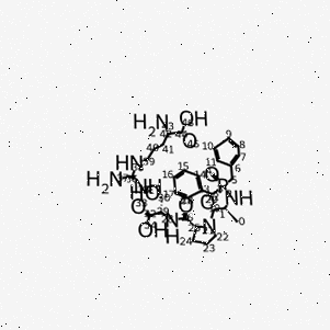 C[C@H](NP(=O)(Cc1ccccc1)Cc1ccccc1)C(=O)N1CCC[C@H]1C(=O)N[C@@H](CO)C(=O)O.N=C(N)NCCC[C@H](N)C(=O)O